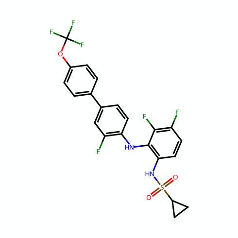 O=S(=O)(Nc1ccc(F)c(F)c1Nc1ccc(-c2ccc(OC(F)(F)F)cc2)cc1F)C1CC1